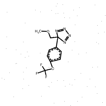 COCC1(c2ccc(OC(F)(F)F)cc2)N=NN=N1